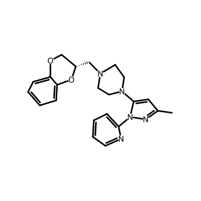 Cc1cc(N2CCN(C[C@H]3COc4ccccc4O3)CC2)n(-c2ccccn2)n1